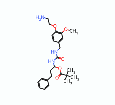 COc1cc(CNC(=O)NC(CCc2ccccc2)OC(=O)C(C)(C)C)ccc1OCCN